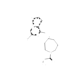 CC(C)(C)OC(=O)N1CCC[C@@H](Oc2nc(Cl)cn3nccc23)CC1